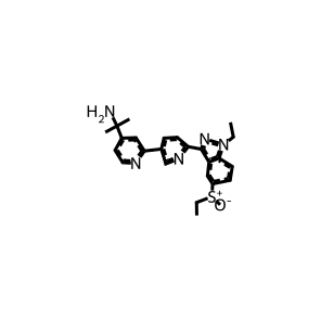 CCn1nc(-c2ccc(-c3cc(C(C)(C)N)ccn3)cn2)c2cc([S+]([O-])CC)ccc21